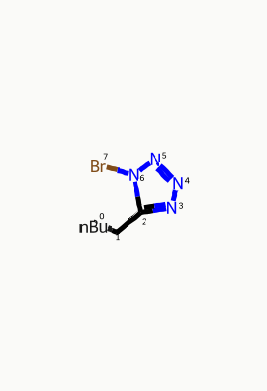 CCCCCc1nnnn1Br